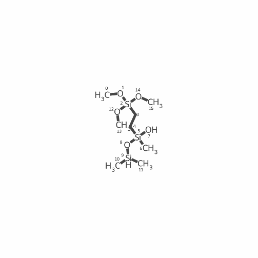 CO[Si](CC[Si](C)(O)O[SiH](C)C)(OC)OC